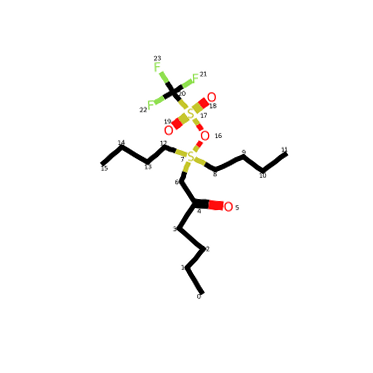 CCCCC(=O)CS(CCCC)(CCCC)OS(=O)(=O)C(F)(F)F